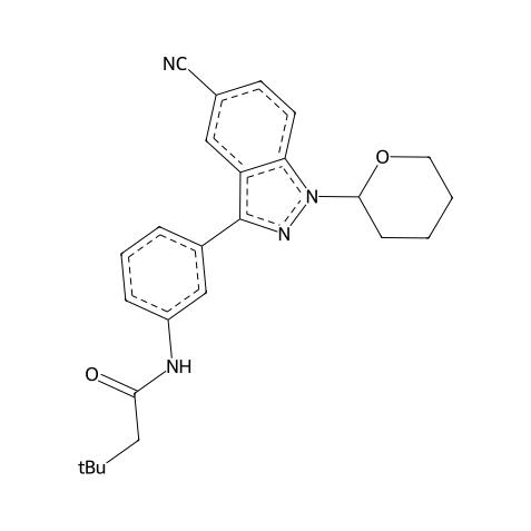 CC(C)(C)CC(=O)Nc1cccc(-c2nn(C3CCCCO3)c3ccc(C#N)cc23)c1